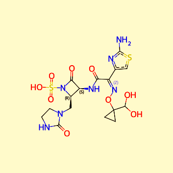 Nc1nc(/C(=N/OC2(C(O)O)CC2)C(=O)N[C@@H]2C(=O)N(S(=O)(=O)O)[C@@H]2CN2CCNC2=O)cs1